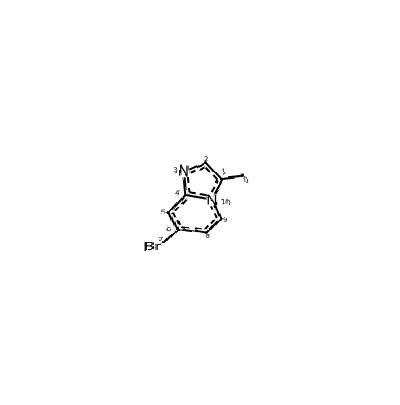 Cc1cnc2cc(Br)ccn12